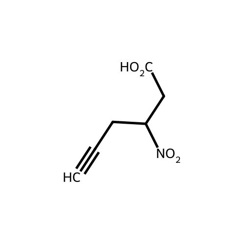 C#CCC(CC(=O)O)[N+](=O)[O-]